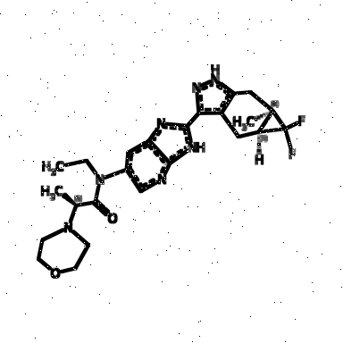 CCN(C(=O)[C@H](C)N1CCOCC1)c1cnc2[nH]c(-c3n[nH]c4c3C[C@@H]3C(F)(F)[C@]3(C)C4)nc2c1